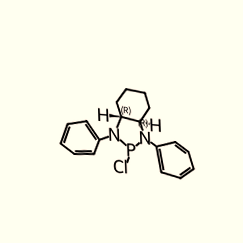 ClP1N(c2ccccc2)[C@@H]2CCCC[C@H]2N1c1ccccc1